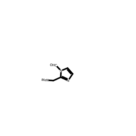 [CH2]NCc1nccn1C=O